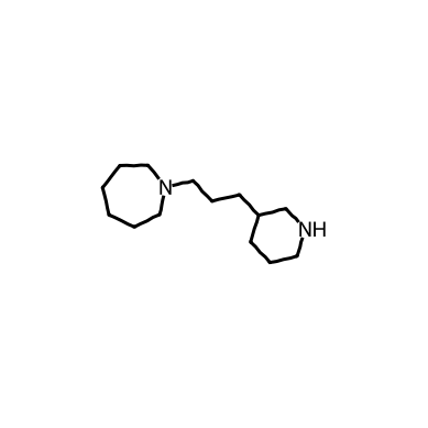 C1CCCN(CCCC2CCCNC2)CC1